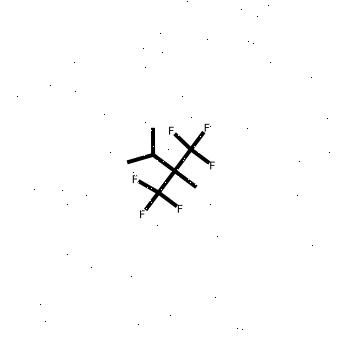 CC(C)C(C)(C(F)(F)F)C(F)(F)F